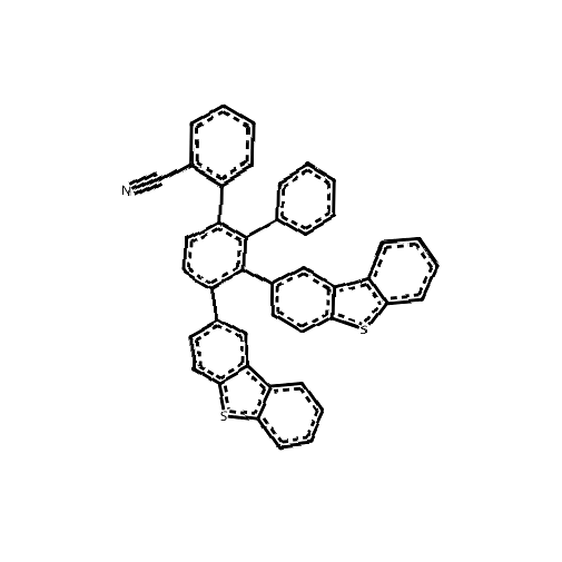 N#Cc1ccccc1-c1ccc(-c2ccc3sc4ccccc4c3c2)c(-c2ccc3sc4ccccc4c3c2)c1-c1ccccc1